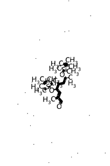 C/C(C=O)=C\[C@@H](O[Si](C)(C)C(C)(C)C)[C@H](C)C[C@@H](C)O[Si](C)(C)C(C)(C)C